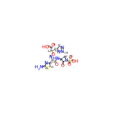 CC(C)(ON=C(C(=O)N[C@@H]1C(=O)N(S(=O)(=O)O)[C@H]1Cn1nccn1)c1csc(N)n1)C(=O)O